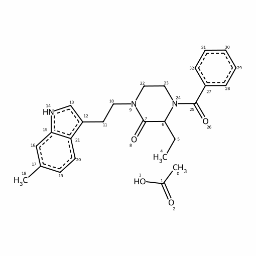 CC(=O)O.CCC1C(=O)N(CCc2c[nH]c3cc(C)ccc23)CCN1C(=O)c1ccccc1